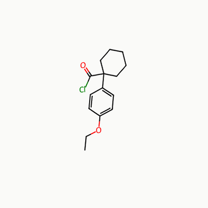 CCOc1ccc(C2(C(=O)Cl)CCCCC2)cc1